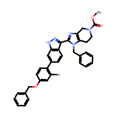 CCc1cc(OCc2ccccc2)ccc1-c1ccc2c(-c3nc4c(n3Cc3ccccc3)CCN(C(=O)OC(C)(C)C)C4)n[nH]c2c1